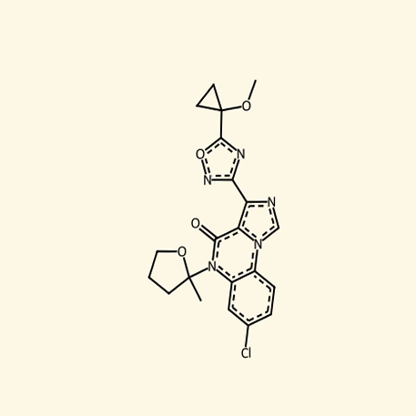 COC1(c2nc(-c3ncn4c3c(=O)n(C3(C)CCCO3)c3cc(Cl)ccc34)no2)CC1